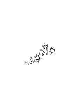 CC(=O)Nc1ccc(CSC(CCc2ccncc2)Cn2ccnc2)cc1